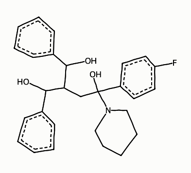 OC(c1ccccc1)C(CC(O)(c1ccc(F)cc1)N1CCCCC1)C(O)c1ccccc1